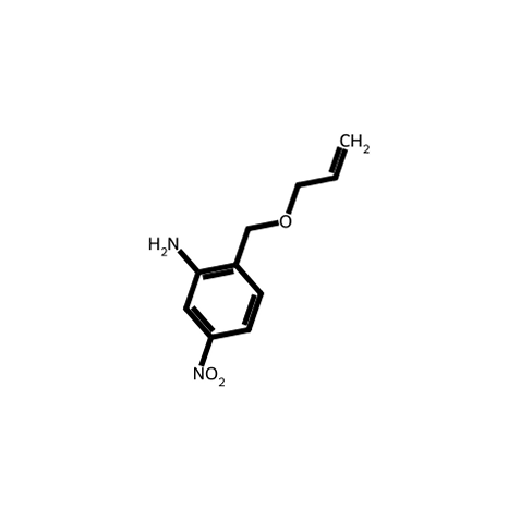 C=CCOCc1ccc([N+](=O)[O-])cc1N